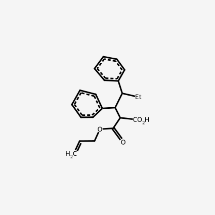 C=CCOC(=O)C(C(=O)O)C(c1ccccc1)C(CC)c1ccccc1